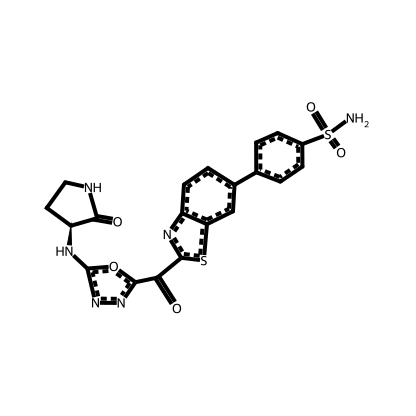 NS(=O)(=O)c1ccc(-c2ccc3nc(C(=O)c4nnc(N[C@H]5CCNC5=O)o4)sc3c2)cc1